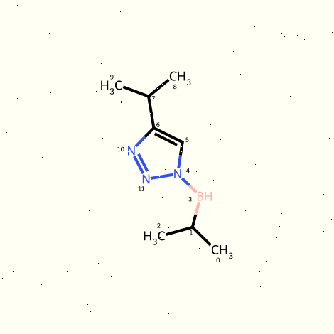 CC(C)Bn1cc(C(C)C)nn1